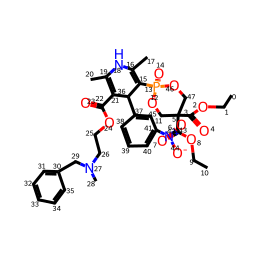 CCOC(=O)C1(C(=O)OCC)COP(=O)(C2=C(C)NC(C)=C(C(=O)OCCN(C)Cc3ccccc3)C2c2cccc([N+](=O)[O-])c2)OC1